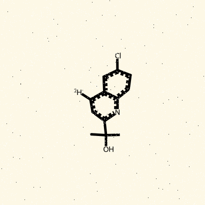 [2H]c1cc(C(C)(C)O)nc2ccc(Cl)cc12